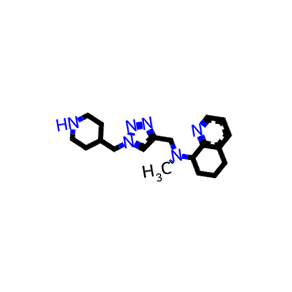 CN(Cc1cn(CC2CCNCC2)nn1)C1CCCc2cccnc21